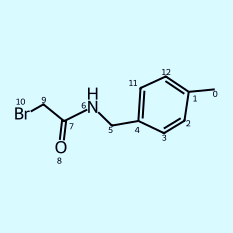 Cc1ccc(CNC(=O)CBr)cc1